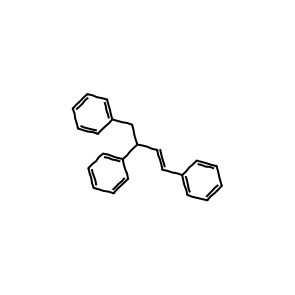 C(=CC(Cc1ccccc1)c1ccccc1)c1ccccc1